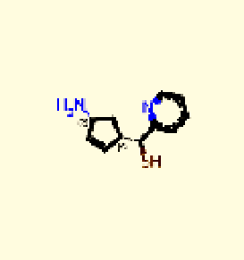 N[C@H]1C=C[C@@H](C(S)c2ccccn2)C1